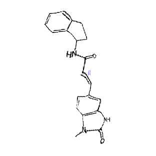 Cn1c(=O)[nH]c2cc(/C=C/C(=O)NC3CCc4ccccc43)ccc21